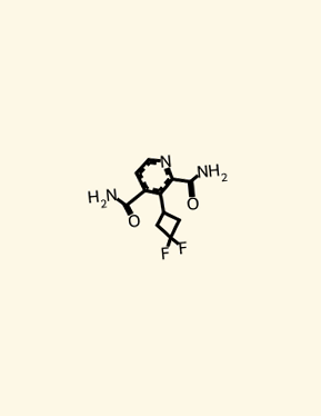 NC(=O)c1ccnc(C(N)=O)c1C1CC(F)(F)C1